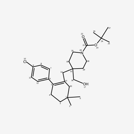 CC1(C)CCC(c2ccc(Cl)cc2)=C(CC2(CO)CCN(C(=O)OC(C)(C)C)CC2)C1